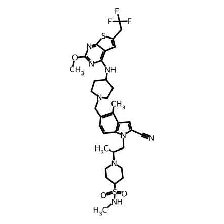 CNS(=O)(=O)C1CCN([C@@H](C)Cn2c(C#N)cc3c(C)c(CN4CCC(Nc5nc(OC)nc6sc(CC(F)(F)F)cc56)CC4)ccc32)CC1